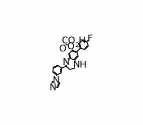 O=C(O)C(=O)Oc1cc2c(cc1-c1ccc(F)cc1)NCCC(c1cccc(-n3ccnc3)c1)=N2